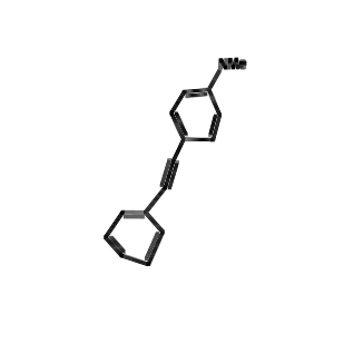 CNc1ccc(C#Cc2ccccc2)cc1